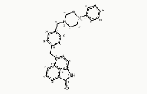 O=C1Nc2ccc(Cc3ccc(CN4CCN(c5ccccc5)CC4)cc3)c3cccc1c23